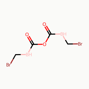 O=C(BCBr)OC(=O)BCBr